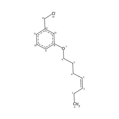 CC/C=C\CCCOc1cccc(CCl)c1